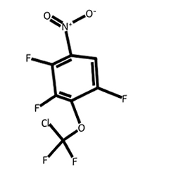 O=[N+]([O-])c1cc(F)c(OC(F)(F)Cl)c(F)c1F